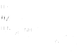 C/C(N)=C(\C=C/C(C)C)C(=O)NCc1ccc(COc2ccccc2)cc1